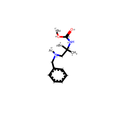 CCCCC(C)(CN(Cc1ccccc1)C(C)=O)NC(=O)OC(C)(C)C